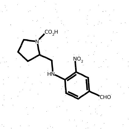 O=Cc1ccc(NCC2CCCN2C(=O)O)c([N+](=O)[O-])c1